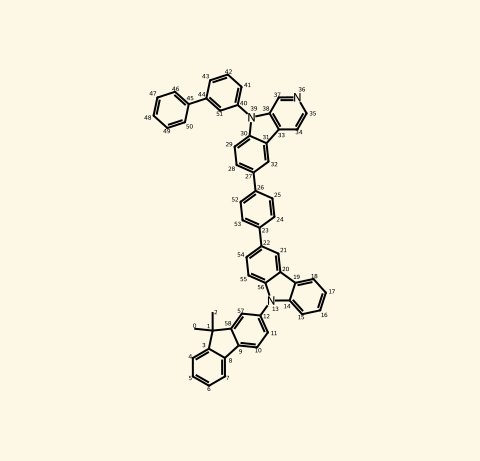 CC1(C)c2ccccc2-c2ccc(-n3c4ccccc4c4cc(-c5ccc(-c6ccc7c(c6)c6ccncc6n7-c6cccc(-c7ccccc7)c6)cc5)ccc43)cc21